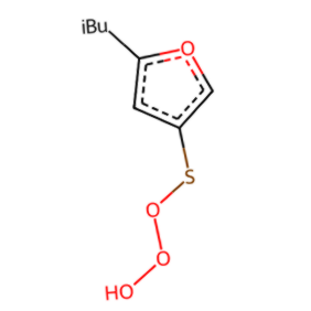 CCC(C)c1cc(SOOO)co1